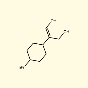 CCCC1CCC(/C(=C/O)CO)CC1